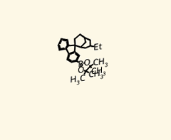 CCC1CC2CCC3(c4ccccc4-c4ccc(B5OC(C)(C)C(C)(C)O5)cc43)C(C1)C2